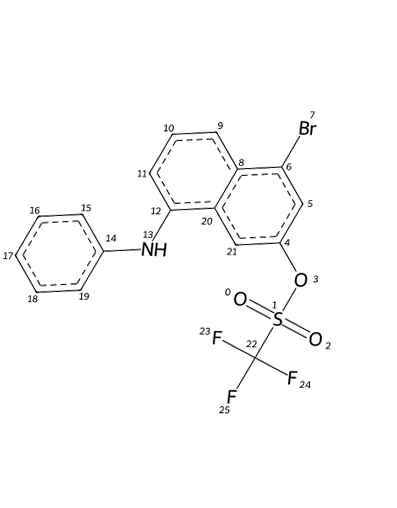 O=S(=O)(Oc1cc(Br)c2cccc(Nc3ccccc3)c2c1)C(F)(F)F